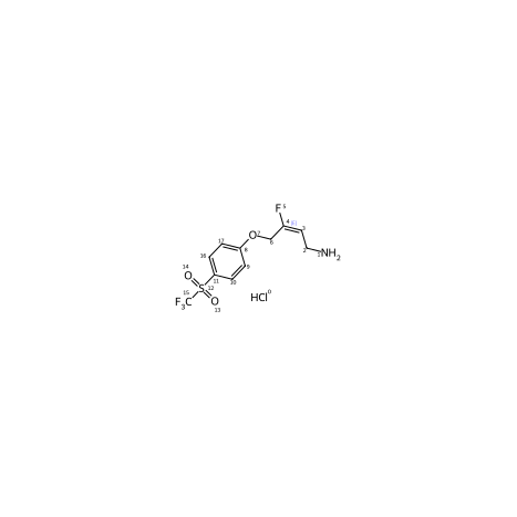 Cl.NC/C=C(/F)COc1ccc(S(=O)(=O)C(F)(F)F)cc1